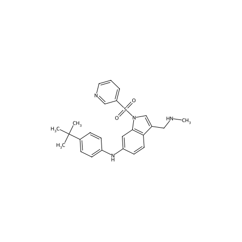 CNCc1cn(S(=O)(=O)c2cccnc2)c2cc(Nc3ccc(C(C)(C)C)cc3)ccc12